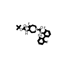 CC(C)(C)OC(=O)NC1CCN(C(=O)Nc2c(F)cccc2-c2c(F)cccc2F)CCC1(F)F